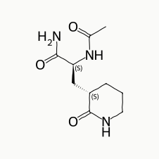 CC(=O)N[C@@H](C[C@@H]1CCCNC1=O)C(N)=O